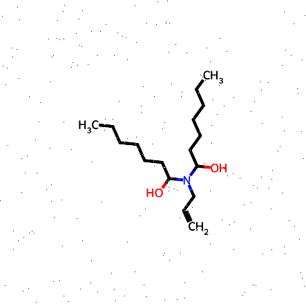 C=CCN(C(O)CCCCCC)C(O)CCCCCC